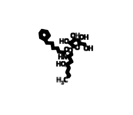 CCCC[C@@H](O)CC(CO[C@H]1OC(CO)[C@H](O)C(O)C1O)NC(=O)CCCCCc1ccccc1